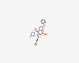 C[C@H]1CC[C@H](C(=O)N(c2cc(C#CC3CC3)sc2C(=O)O)[C@H]2CC[C@H](Oc3ccccn3)CC2)CC1